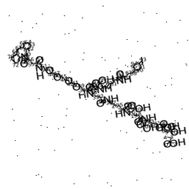 O=C(O)CC[C@H](CP(=O)(O)OCCC[C@H](NC(=O)CC[C@@H](NC(=O)CCCCCNC(=O)CCC(NC(=O)CCOCCOCCOCCOCCNC(=O)CCC(=O)N1Cc2ccccc2/C=C\c2ccccc21)C(=O)NC(CCCCNC(=O)CCCc1ccc(I)cc1)C(=O)O)C(=O)O)C(=O)O)C(=O)O